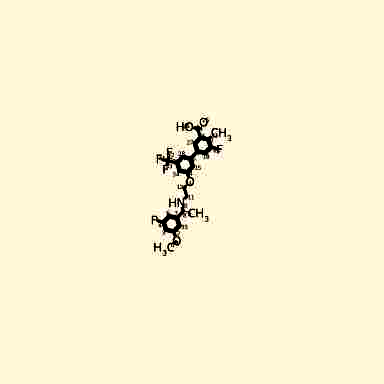 COc1cc(F)cc([C@@H](C)NCCOc2cc(-c3cc(F)c(C)c(C(=O)O)c3)cc(C(F)(F)F)c2)c1